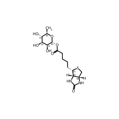 C[C@H]1O[C@H](OC(=O)CCCC[C@@H]2SC[C@@H]3NC(=O)N[C@@H]32)[C@@H](O)[C@@H](O)[C@@H]1O